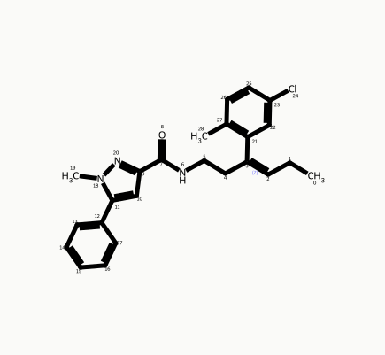 CC/C=C(/CCNC(=O)c1cc(-c2ccccc2)n(C)n1)c1cc(Cl)ccc1C